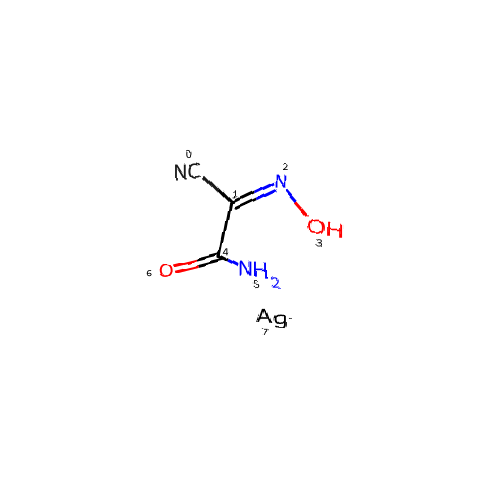 N#CC(=NO)C(N)=O.[Ag]